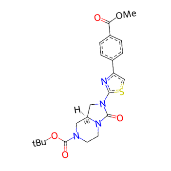 COC(=O)c1ccc(-c2csc(N3C[C@@H]4CN(C(=O)OC(C)(C)C)CCN4C3=O)n2)cc1